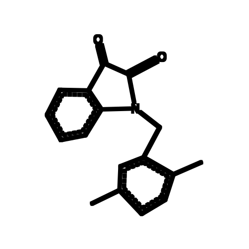 Cc1ccc(C)c(CN2C(=O)C(=O)c3ccccc32)c1